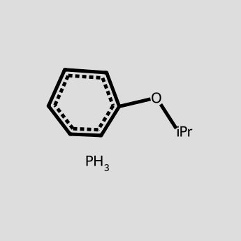 CC(C)Oc1ccccc1.P